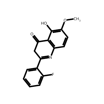 COc1ccc2c(c1O)C(=O)CC(c1ccccc1F)=N2